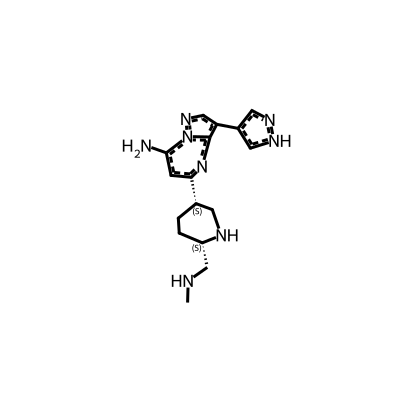 CNC[C@@H]1CC[C@H](c2cc(N)n3ncc(-c4cn[nH]c4)c3n2)CN1